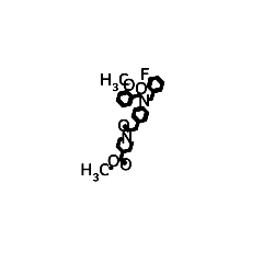 CCOC(=O)C1CCN(C(=O)Cc2ccc(N(Cc3cccc(F)c3)C(=O)c3ccccc3OC)cc2)CC1